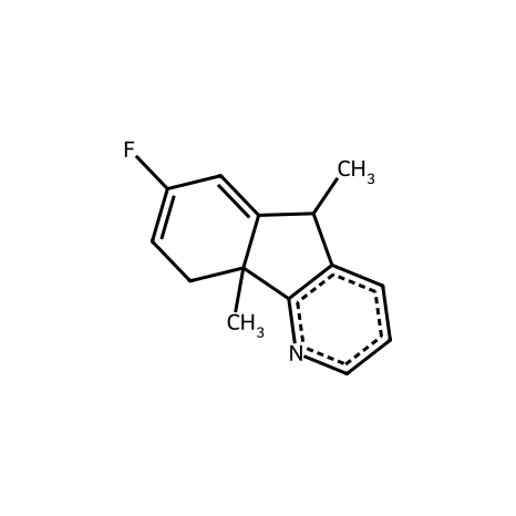 CC1C2=CC(F)=CCC2(C)c2ncccc21